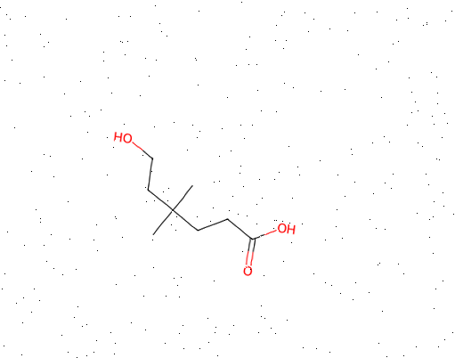 CC(C)(CCO)CCC(=O)O